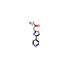 CC(=O)Sc1nc(-c2ccncc2)cs1